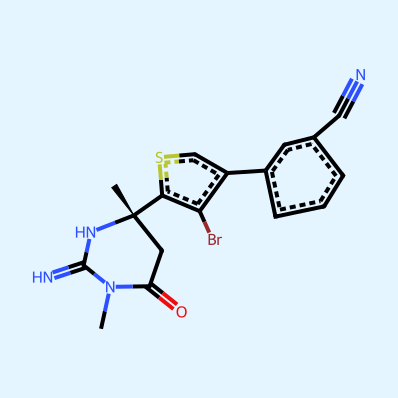 CN1C(=N)N[C@](C)(c2scc(-c3cccc(C#N)c3)c2Br)CC1=O